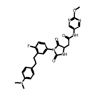 COc1ncc(NC(=O)CC2NC(=O)N(c3ccc(F)c(CCc4ccc(N(C)C)cc4)c3)C2=O)cn1